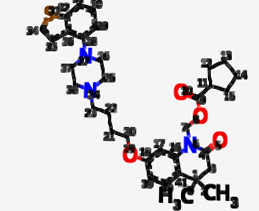 CC1(C)CC(=O)N(COC(=O)C2CCCC2)c2cc(OCCCCN3CCN(c4cccc5sccc45)CC3)ccc21